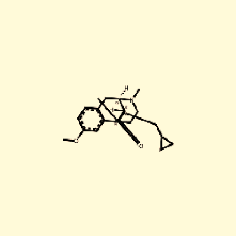 COc1ccc2c(c1)[C@]13CCN(C)[C@H](C2)[C@@H]1CN(CC1CC1)C(=O)C3